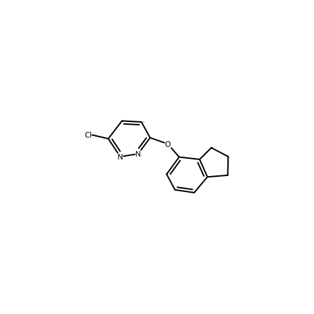 Clc1c[c]c(Oc2cccc3c2CCC3)nn1